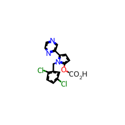 O=C(O)Oc1ccc(-c2cnccn2)n1Cc1cc(Cl)ccc1Cl